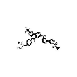 CN(C)CC1CCC(CNc2cc(Nc3ccnc(-c4cnn(S(=O)(=O)C5CC5)c4)n3)ncc2-c2csc(C(F)(F)F)n2)CC1